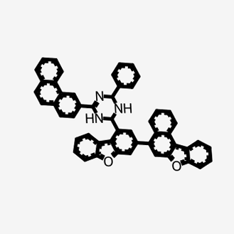 c1ccc(C2N=C(c3ccc4ccc5ccccc5c4c3)NC(c3cc(-c4cc5oc6ccccc6c5c5ccccc45)cc4oc5ccccc5c34)N2)cc1